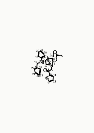 CC(=O)O[C@H]1C[N+]2(CC(=O)c3cccs3)CCC1CC2.c1ccc(CNc2ccccc2)cc1